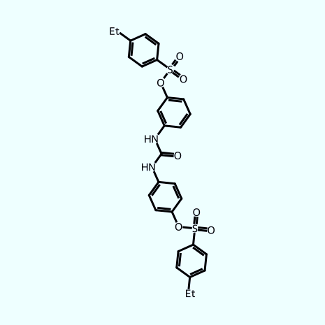 CCc1ccc(S(=O)(=O)Oc2ccc(NC(=O)Nc3cccc(OS(=O)(=O)c4ccc(CC)cc4)c3)cc2)cc1